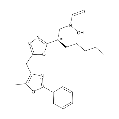 CCCCC[C@H](CN(O)C=O)c1nnc(Cc2nc(-c3ccccc3)oc2C)o1